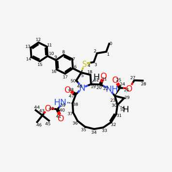 CCCCS[C@@]1(c2ccc(-c3ccccc3)cc2)C[C@H]2C(=O)N[C@]3(C(=O)OCC)C[C@H]3C=CCCCCC[C@H](NC(=O)OC(C)(C)C)C(=O)N2C1